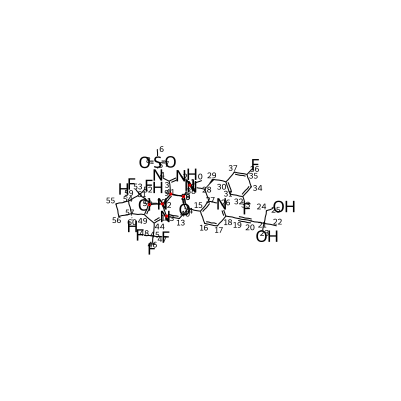 Cn1nc(NS(C)(=O)=O)c2c(Cl)ccc(-c3ccc(C#CC(C)(O)CO)nc3[C@H](Cc3cc(F)cc(F)c3)NC(=O)Cn3nc(C(F)(F)F)c4c3C(F)(F)[C@@H]3CC[C@H]43)c21